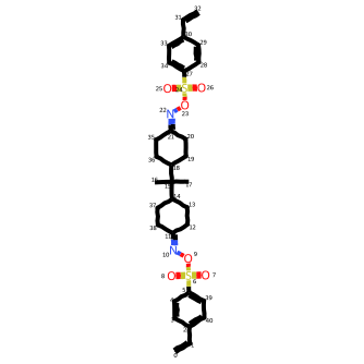 C=Cc1ccc(S(=O)(=O)ON=C2CCC(C(C)(C)C3CCC(=NOS(=O)(=O)c4ccc(C=C)cc4)CC3)CC2)cc1